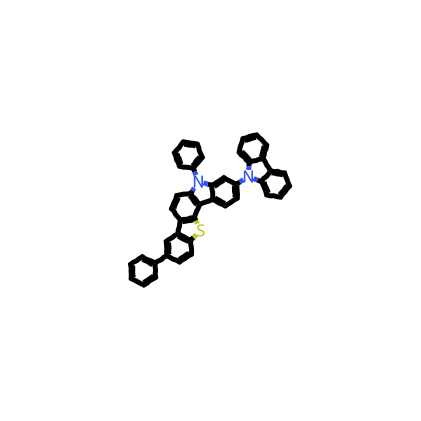 c1ccc(-c2ccc3sc4c(ccc5c4c4ccc(-n6c7ccccc7c7ccccc76)cc4n5-c4ccccc4)c3c2)cc1